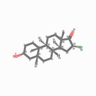 C[C@]12CC[C@H](O)C[C@H]1CC[C@@H]1[C@@H]2CC[C@]2(C)C(=O)[C@@H](Br)C[C@@H]12